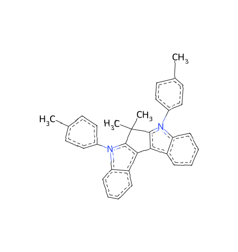 Cc1ccc(-n2c3c(c4ccccc42)-c2c(n(-c4ccc(C)cc4)c4ccccc24)C3(C)C)cc1